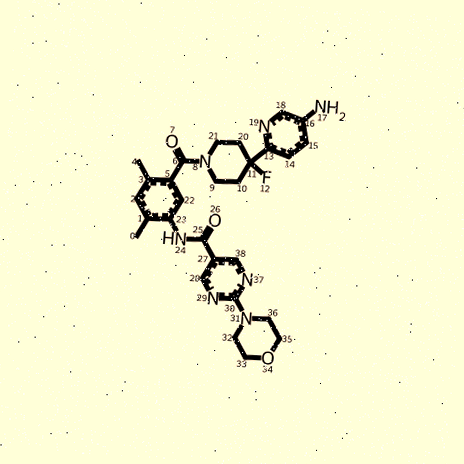 Cc1cc(C)c(C(=O)N2CCC(F)(c3ccc(N)cn3)CC2)cc1NC(=O)c1cnc(N2CCOCC2)nc1